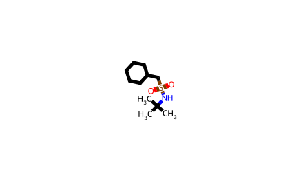 CC(C)(C)NS(=O)(=O)CC1CCCCC1